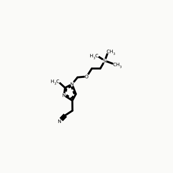 Cc1nc(CC#N)cn1COCC[Si](C)(C)C